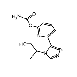 CC(CO)n1cnnc1-c1cccc(OC(N)=O)n1